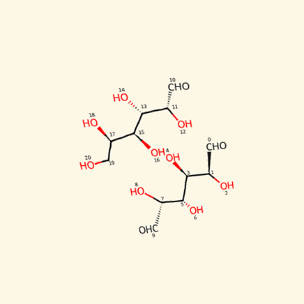 O=C[C@@H](O)[C@H](O)[C@H](O)[C@@H](O)C=O.O=C[C@H](O)[C@@H](O)[C@@H](O)[C@H](O)CO